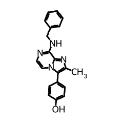 Cc1nc2c(NCc3ccccc3)nccn2c1-c1ccc(O)cc1